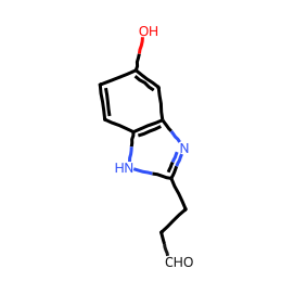 O=CCCc1nc2cc(O)ccc2[nH]1